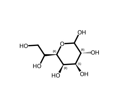 OCC(O)[C@H]1OC(O)[C@H](O)[C@@H](O)[C@H]1O